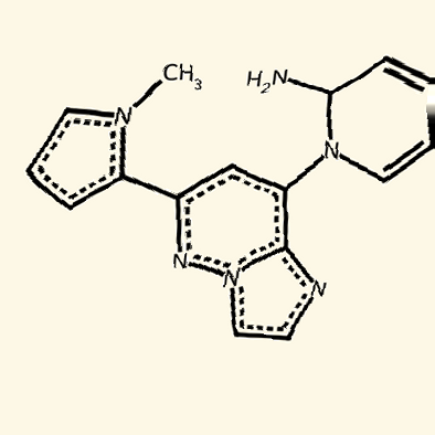 Cn1cccc1-c1cc(N2C=CC=CC2N)c2nccn2n1